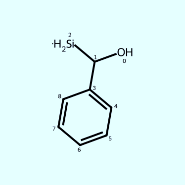 OC([SiH2])c1ccccc1